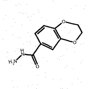 NNC(=O)c1ccc2c(c1)OCCO2